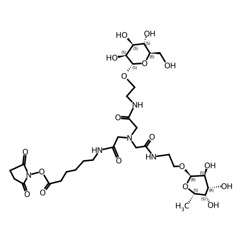 C[C@@H]1O[C@@H](OCCNC(=O)CN(CC(=O)NCCCCCC(=O)ON2C(=O)CCC2=O)CC(=O)NCCO[C@H]2O[C@H](CO)[C@@H](O)[C@H](O)[C@@H]2O)[C@@H](O)[C@H](O)[C@@H]1O